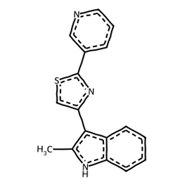 Cc1[nH]c2ccccc2c1-c1csc(-c2cccnc2)n1